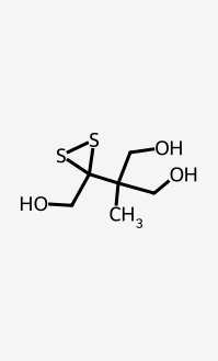 CC(CO)(CO)C1(CO)SS1